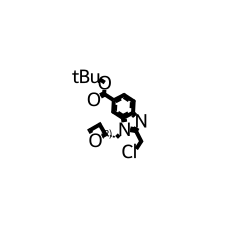 CC(C)(C)OC(=O)c1ccc2nc(CCl)n(C[C@H]3CCO3)c2c1